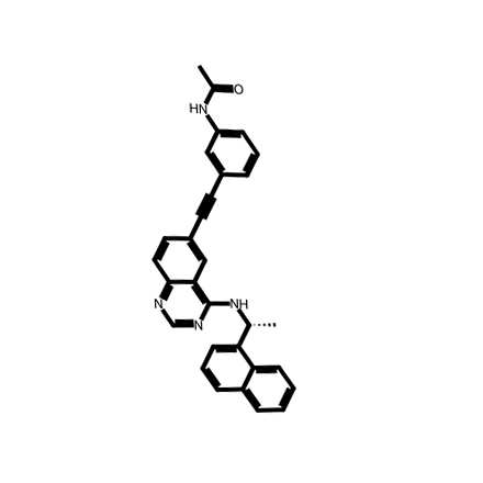 CC(=O)Nc1cccc(C#Cc2ccc3ncnc(N[C@H](C)c4cccc5ccccc45)c3c2)c1